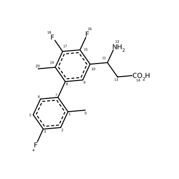 Cc1cc(F)ccc1-c1cc(C(N)CC(=O)O)c(F)c(F)c1C